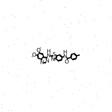 COc1cc2ncnc(Nc3nc4ccc(NC(=O)c5ccc(C)cc5)cc4s3)c2cc1OC